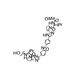 COC(=O)N[C@H](C(=O)N1CCC[C@H]1c1ncc(-c2ccc(-c3nc4cc(-c5cnc([C@@H]6CCCN6C(=O)[C@@H](NC(=O)O)C(C)C)[nH]5)ccc4o3)cc2)[nH]1)C(C)C